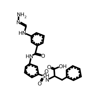 NN=CNc1cccc(C(=O)Nc2cccc(S(=O)(=O)NC(Cc3ccccc3)C(=O)O)c2)c1